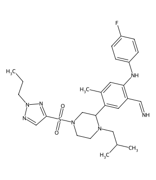 CCCn1ncc(S(=O)(=O)N2CCN(CC(C)C)C(c3cc(C=N)c(Nc4ccc(F)cc4)cc3C)C2)n1